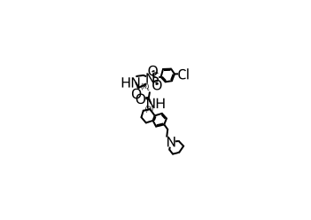 O=C(C[C@@H]1C(=O)NCCN1S(=O)(=O)c1ccc(Cl)cc1)N[C@@H]1CCCc2cc(CCN3CCCCC3)ccc21